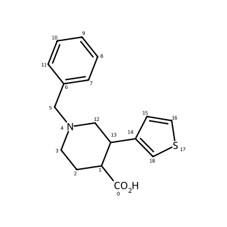 O=C(O)C1CCN(Cc2ccccc2)CC1c1ccsc1